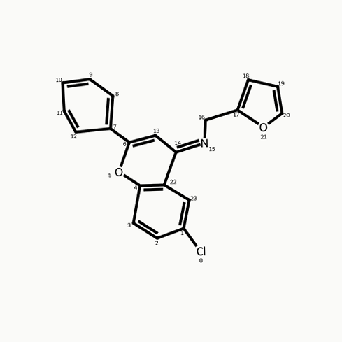 Clc1ccc2oc(-c3ccccc3)cc(=NCc3ccco3)c2c1